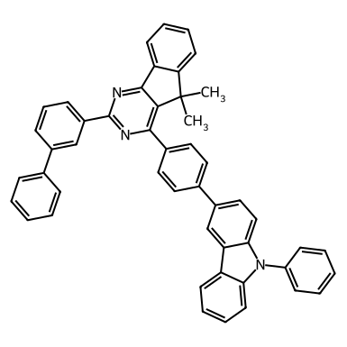 CC1(C)c2ccccc2-c2nc(-c3cccc(-c4ccccc4)c3)nc(-c3ccc(-c4ccc5c(c4)c4ccccc4n5-c4ccccc4)cc3)c21